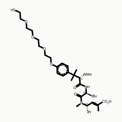 CN[C@H](C(=O)N[C@H](C(=O)N(C)[C@H](/C=C(\C)C(=O)O)C(C)C)C(C)(C)C)C(C)(C)c1ccc(OCCOCCOCCOCCS)cc1